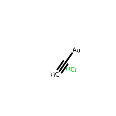 C#[C][Au].Cl